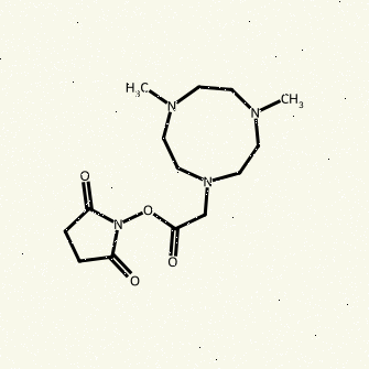 CN1CCN(C)CCN(CC(=O)ON2C(=O)CCC2=O)CC1